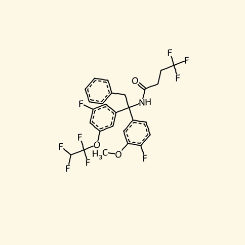 COc1cc(C(Cc2ccccc2)(NC(=O)CCC(F)(F)F)c2cc(F)cc(OC(F)(F)C(F)F)c2)ccc1F